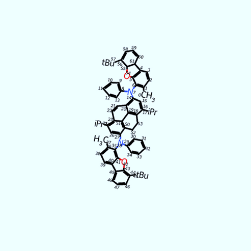 Cc1ccc2c(c1N(c1ccccc1)c1cc(C(C)C)c3c4c1ccc1c(C(C)C)cc(N(c5ccccc5)c5c(C)ccc6c5oc5c(C(C)(C)C)cccc56)c(c14)CC3)OC1C(C(C)(C)C)=CC=CC21